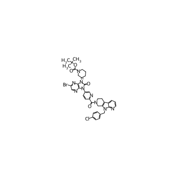 CC(C)(C)OC(=O)N1CCC[C@H](n2c(=O)n(-c3ccc(C(=O)N4CCc5c(n(Cc6ccc(Cl)cc6)c6ncccc56)C4)nc3)c3ncc(Br)nc32)C1